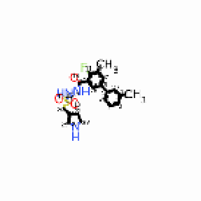 Cc1cccc(-c2cc(C)c(F)c(C(=O)NNS(=O)(=O)CC3CCNC3)c2)c1